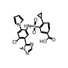 Cn1ncnc1-c1cc(NS(=O)(=O)c2cc(C(=O)O)ccc2C2CC2)c(-n2cccc2)cc1Cl